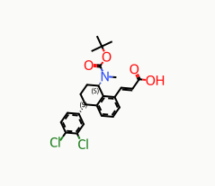 CN(C(=O)OC(C)(C)C)[C@H]1CC[C@@H](c2ccc(Cl)c(Cl)c2)c2cccc(C=CC(=O)O)c21